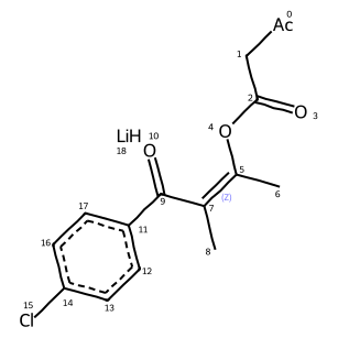 CC(=O)CC(=O)O/C(C)=C(/C)C(=O)c1ccc(Cl)cc1.[LiH]